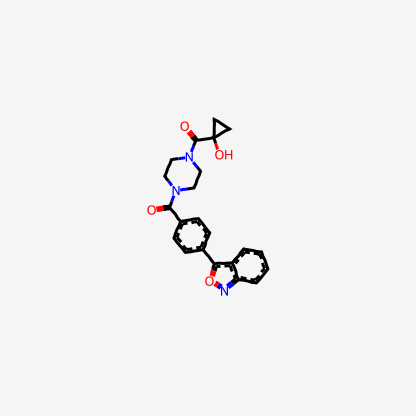 O=C(c1ccc(-c2onc3ccccc23)cc1)N1CCN(C(=O)C2(O)CC2)CC1